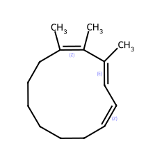 C/C1=C(C)/C(C)=C/C=C\CCCCCC1